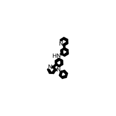 C1=CC2C(C=C1Nc1cccc(-c3ccccn3)c1)c1ncccc1N2c1ccccc1